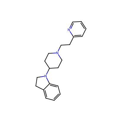 c1ccc(CCN2CCC(N3CCc4ccccc43)CC2)nc1